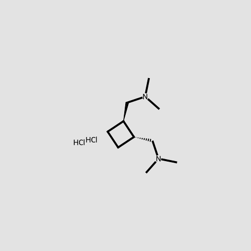 CN(C)C[C@@H]1CC[C@H]1CN(C)C.Cl.Cl